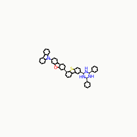 c1ccc(C2NC(c3ccccc3)NC(c3ccc4sc5c(-c6ccc7c(c6)oc6cc(-n8c9ccccc9c9ccccc98)ccc67)cccc5c4c3)N2)cc1